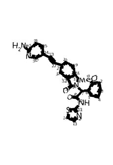 COc1ccccc1C(C(=O)Nc1nccs1)N1Cc2ccc(C#Cc3ccc(N)nc3)cc2C1=O